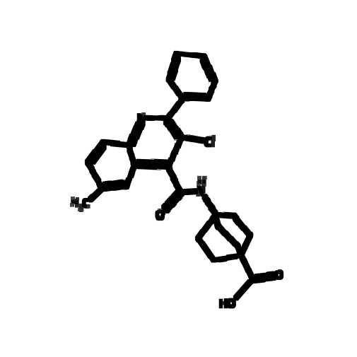 Cc1ccc2nc(-c3ccccc3)c(Cl)c(C(=O)NC34CCC(C(=O)O)(CC3)CC4)c2c1